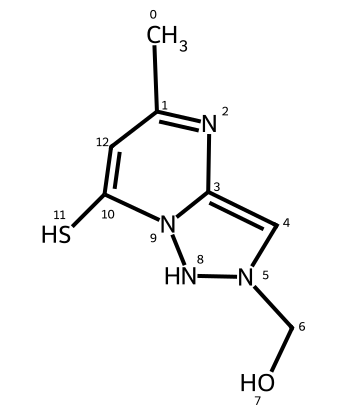 CC1=NC2=CN(CO)NN2C(S)=C1